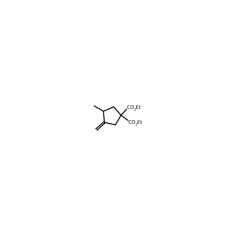 C=C1CC(C(=O)OCC)(C(=O)OCC)CC1C